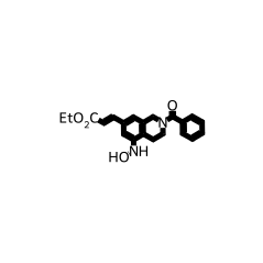 CCOC(=O)/C=C/c1cc2c(c(NO)c1)CCN(C(=O)c1ccccc1)C2